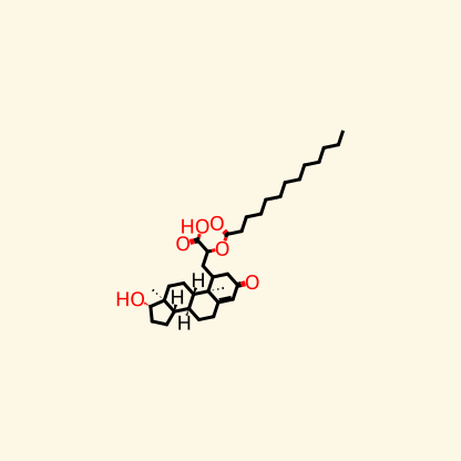 CCCCCCCCCCCCC(=O)OC(CC1CC(=O)C=C2CC[C@H]3[C@@H]4CC[C@H](O)[C@@]4(C)CC[C@@H]3[C@]21C)C(=O)O